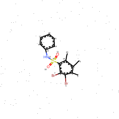 Cc1c(C)c(Br)c(Br)c(S(=O)(=O)Nc2ccccc2)c1C